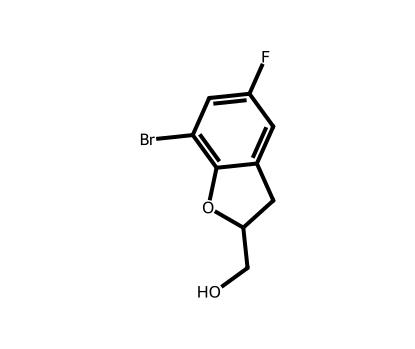 OCC1Cc2cc(F)cc(Br)c2O1